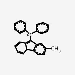 Cc1ccc2c(c1)[C]([Zr]([c]1ccccc1)[c]1ccccc1)=C1C=CC=CC12